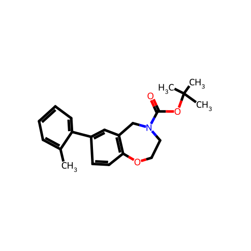 Cc1ccccc1-c1ccc2c(c1)CN(C(=O)OC(C)(C)C)CCO2